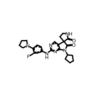 O=C1NCCC12C(=O)N(C1CCCC1)c1nc(Nc3ccc(N4CCCC4)c(F)c3)ncc12